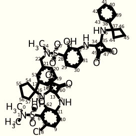 CN(C)S(=O)(=O)c1c(Cl)ccc(Nc2c(NC3(c4cccc(CN(C)S(=O)(=O)c5cccc(Nc6c(NC7(c8ccccc8)CCC7)c(=O)c6=O)c5O)c4)CCCC3)c(=O)c2=O)c1O